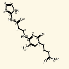 CC(=O)OC(=O)CCCn1cc(C)c(NCCC(=O)Nc2ncc[nH]2)nc1=O